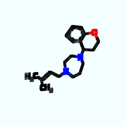 CC(C)=CCN1CCCN(C2CCOc3ccccc32)CC1